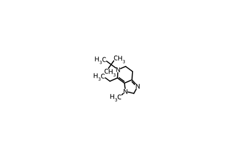 CCC1=C2C(=NCN2C)CCN1C(C)(C)C